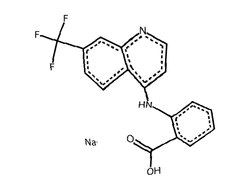 O=C(O)c1ccccc1Nc1ccnc2cc(C(F)(F)F)ccc12.[Na]